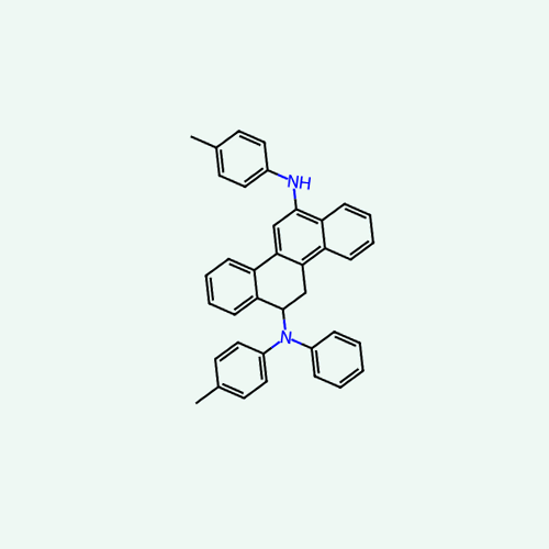 Cc1ccc(Nc2cc3c(c4ccccc24)CC(N(c2ccccc2)c2ccc(C)cc2)c2ccccc2-3)cc1